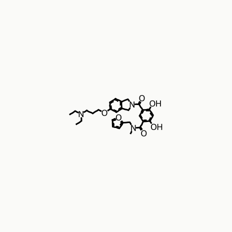 CCN(CC)CCCOc1ccc2c(c1)CN(C(=O)c1cc(C(=O)N(C)Cc3ccco3)c(O)cc1O)C2